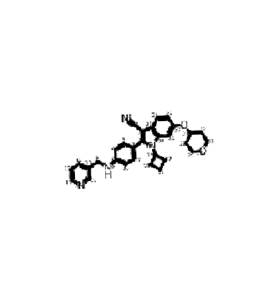 N#Cc1c(-c2ccc(NCc3cccnc3)cc2)n(C2CCC2)c2cc(OC3CCOCC3)ccc12